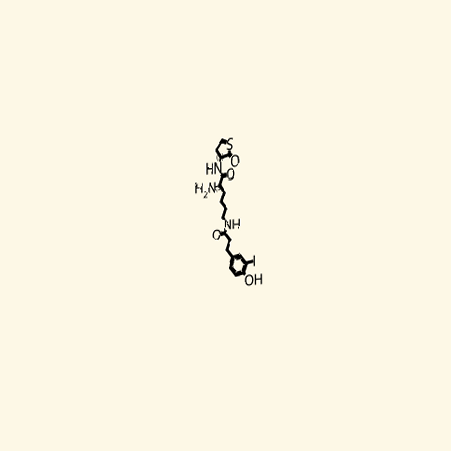 N[C@@H](CCCCNC(=O)CCc1ccc(O)c(I)c1)C(=O)N[C@H]1CCSC1=O